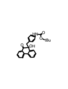 CC(C)(C)OC(=O)Nc1ccc(CC2(O)C(=O)c3ccccc3-c3ccccc32)cc1